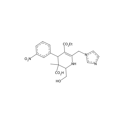 CCOC(=O)C1=C(Cn2ccnc2)NC(CO)C(C)(C(=O)O)C1c1cccc([N+](=O)[O-])c1